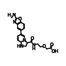 Nc1nc2cc(C3=CN4C(C=C3)NCC4C(=O)NCCOCC(=O)O)ccc2o1